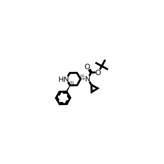 CC(C)(C)OC(=O)N(C1CC1)[C@H]1CCN[C@H](c2ccccc2)C1